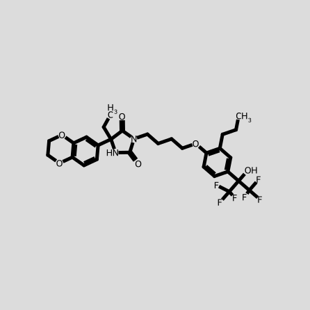 CCCc1cc(C(O)(C(F)(F)F)C(F)(F)F)ccc1OCCCCN1C(=O)NC(CC)(c2ccc3c(c2)OCCO3)C1=O